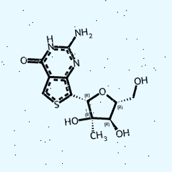 C[C@@]1(O)[C@H](O)[C@@H](CO)O[C@H]1c1scc2c(=O)[nH]c(N)nc12